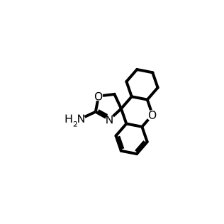 NC1=NC2(CO1)C1C=CC=CC1OC1CCCCC12